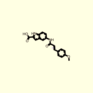 COc1ccc(/C=C/C(=O)Nc2ccc3[nH]c(C(=O)O)cc3c2)cc1